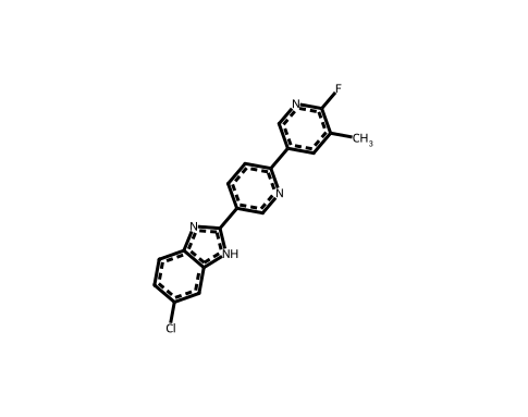 Cc1cc(-c2ccc(-c3nc4ccc(Cl)cc4[nH]3)cn2)cnc1F